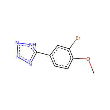 COc1ccc(-c2nnn[nH]2)cc1Br